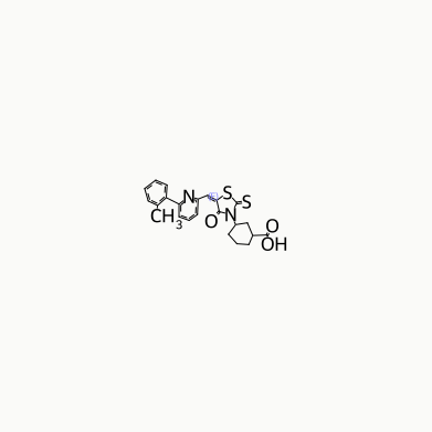 Cc1ccccc1-c1cccc(/C=C2/SC(=S)N(C3CCCC(C(=O)O)C3)C2=O)n1